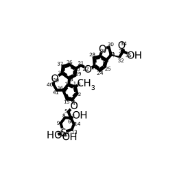 Cc1cc(OCC2(O)CCS(O)(O)CC2)cc2c1-c1cc(COc3ccc4c(c3)OC[C@H]4CC(=O)O)ccc1OCC2